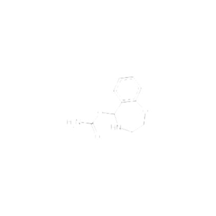 NC(=O)OC1NCCOc2ccccc21